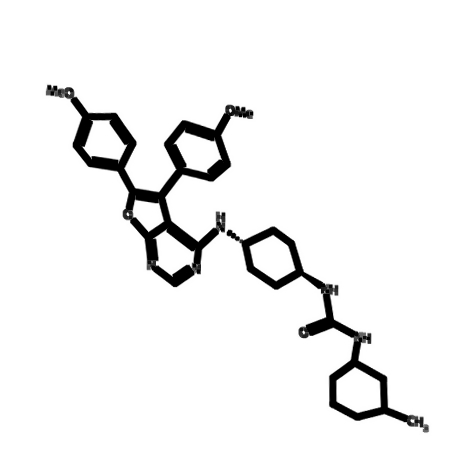 COc1ccc(-c2oc3ncnc(N[C@H]4CC[C@H](NC(=O)NC5CCCC(C)C5)CC4)c3c2-c2ccc(OC)cc2)cc1